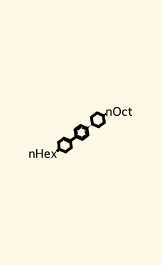 CCCCCCCC[C@H]1CC[C@H](c2ccc(C3=CCC(CCCCCC)CC3)cc2)CC1